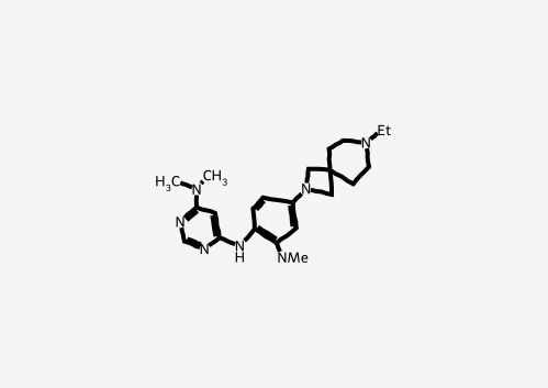 CCN1CCC2(CC1)CN(c1ccc(Nc3cc(N(C)C)ncn3)c(NC)c1)C2